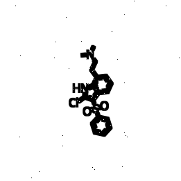 CN(C)CCc1cccc2c(S(=O)(=O)c3ccccc3)c(Cl)[nH]c12